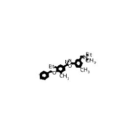 CCc1cc(-c2nnc(-c3cc(C)cc(CN(C)CC)c3)o2)cc(C)c1OCc1ccccc1